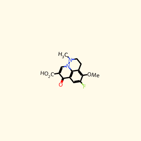 COc1c(F)cc2c(=O)c(C(=O)O)cn3c2c1CCN3C